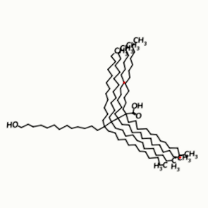 CCCCCCCCCCCCC(CCCCCCCCCCCC)(CCCCCCCCCCCCCO)C(CCCCCCCCCCCC)(CCCCCCCCCCCC)C(CCCCCCCCCCCC)(CCCCCCCCCCCC)C(CCCCCCCCCCCC)(CCCCCCCCCCCC)C(=O)O